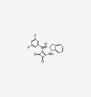 O=c1c(Nc2cc(F)cc(F)c2)c(N[C@H]2c3ccccc3C[C@H]2O)c1=O